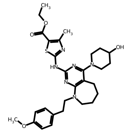 CCOC(=O)c1sc(Nc2nc3c(c(N4CCC(O)CC4)n2)CCCCN3CCc2ccc(OC)cc2)nc1C